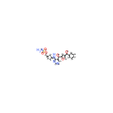 NS(=O)(=O)OC[C@@H]1CC[C@H](Nc2ncncc2C(=O)c2cc(C(=O)c3ccccc3)co2)C1